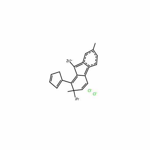 Cc1ccc2c(c1)=[C]([Zr+2])C1=C(C3=CC=CC3)C(C)(C(C)C)C=CC=21.[Cl-].[Cl-]